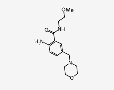 COCCNC(=O)c1cc(CN2CCOCC2)ccc1N